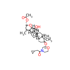 CC(=O)OC[C@H]1C[C@@H](C)[C@H]2[C@H](O1)[C@H](O)[C@@]1(C)[C@@H]3CC[C@H]4C(C)(C)[C@@H](O[C@H]5CN(C(=O)CC6CC6)CCO5)CC[C@@]45C[C@@]35CC[C@]21C